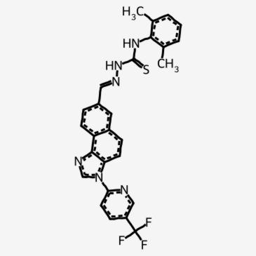 Cc1cccc(C)c1NC(=S)NN=Cc1ccc2c(ccc3c2ncn3-c2ccc(C(F)(F)F)cn2)c1